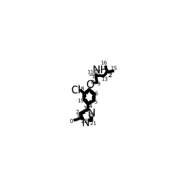 Cc1cc(-c2ccc(OC[C@@](C)(N)CC(C)C)c(Cl)c2)ncn1